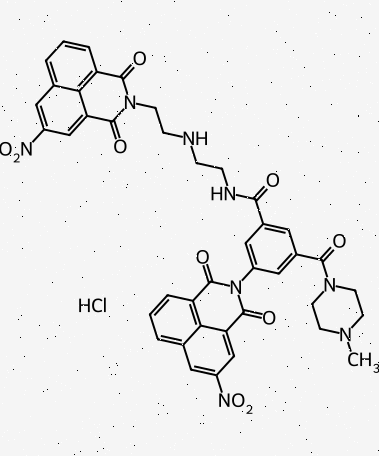 CN1CCN(C(=O)c2cc(C(=O)NCCNCCN3C(=O)c4cccc5cc([N+](=O)[O-])cc(c45)C3=O)cc(N3C(=O)c4cccc5cc([N+](=O)[O-])cc(c45)C3=O)c2)CC1.Cl